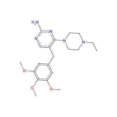 CCN1CCN(c2nc(N)ncc2Cc2cc(OC)c(OC)c(OC)c2)CC1